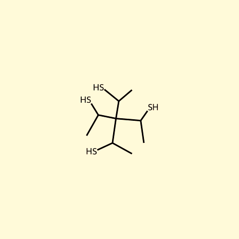 CC(S)C(C(C)S)(C(C)S)C(C)S